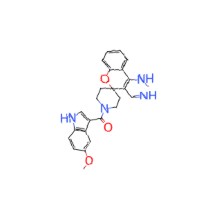 CNC1=C(C=N)C2(CCN(C(=O)c3c[nH]c4ccc(OC)cc34)CC2)Oc2ccccc21